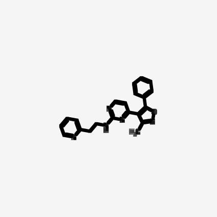 Cc1noc(-c2ccccc2)c1-c1ccnc(NCCc2ccccn2)n1